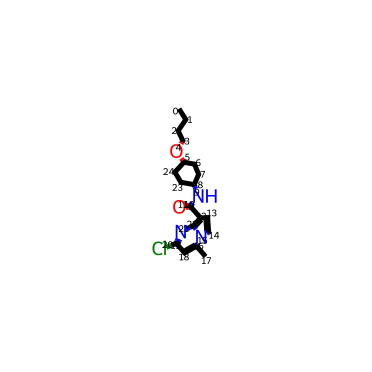 CCCCOC1CCC(NC(=O)c2ccn3c(C)cc(Cl)nc23)CC1